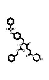 O=C(N[C@@H](Cc1ccc(OS(=O)(=O)c2ccccc2)cc1)C(=O)CCC(=O)N1CCNCC1)OCc1ccccc1